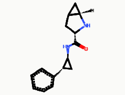 O=C(N[C@H]1C[C@@H]1c1ccccc1)[C@@H]1CC2C[C@H]2N1